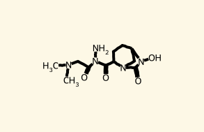 CN(C)CC(=O)N(N)C(=O)C1CCC2CN1C(=O)N2O